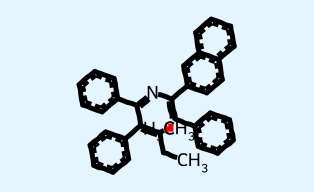 CC/C(C)=C(/C(=N\C(=C(/C)c1ccccc1)c1ccc2ccccc2c1)c1ccccc1)c1ccccc1